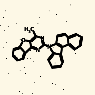 Cc1nc(-n2c3ccccc3c3c4ccccc4ccc32)nc2c1oc1ccccc12